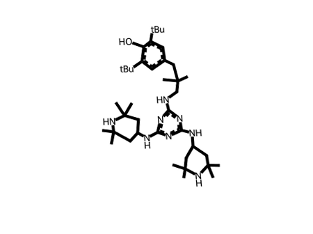 CC(C)(CNc1nc(NC2CC(C)(C)NC(C)(C)C2)nc(NC2CC(C)(C)NC(C)(C)C2)n1)Cc1cc(C(C)(C)C)c(O)c(C(C)(C)C)c1